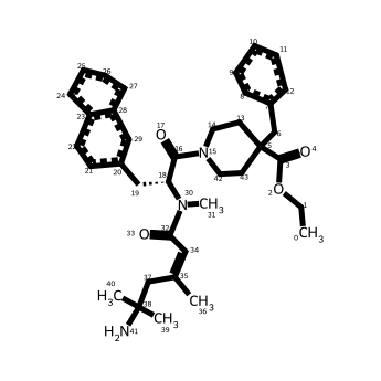 CCOC(=O)C1(Cc2ccccc2)CCN(C(=O)[C@@H](Cc2ccc3ccccc3c2)N(C)C(=O)C=C(C)CC(C)(C)N)CC1